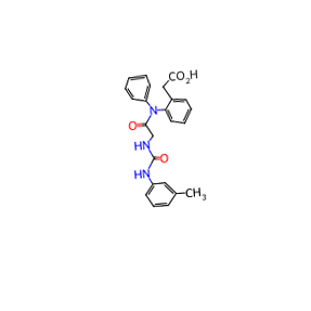 Cc1cccc(NC(=O)NCC(=O)N(c2ccccc2)c2ccccc2CC(=O)O)c1